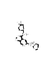 FC1(F)CCC(Nc2ncnc3cnc(NC[C@@H]4CCCO4)cc23)CC1